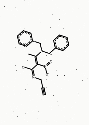 C#CC/N=C(Cl)\C(=C(/C)N(Cc1ccccc1)Cc1ccccc1)[N+](=O)[O-]